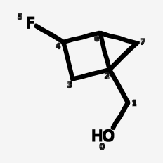 OCC12CC(F)C1C2